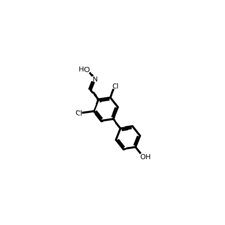 ON=Cc1c(Cl)cc(-c2ccc(O)cc2)cc1Cl